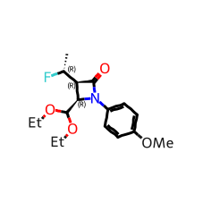 CCOC(OCC)[C@H]1[C@@H]([C@@H](C)F)C(=O)N1c1ccc(OC)cc1